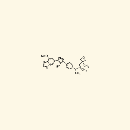 COc1cc(-c2[nH]nc(-c3ccc(C(C)N(C)CC4(C)COC4)cc3)c2C(C)C)cn2ncnc12